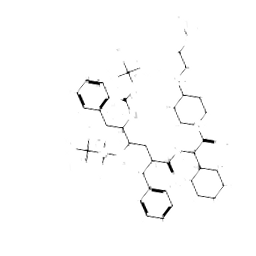 COCCNC1CCN(C(=O)C(NC(=O)C(Cc2ccccc2)CC(O[Si](C)(C)C(C)(C)C)C(Cc2ccccc2)NC(=O)OC(C)(C)C)C2CCCCC2)CC1